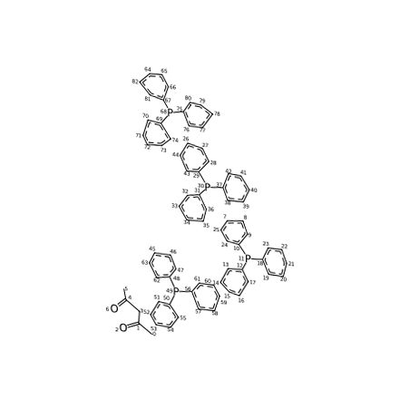 CC(=O)CC(C)=O.c1ccc(P(c2ccccc2)c2ccccc2)cc1.c1ccc(P(c2ccccc2)c2ccccc2)cc1.c1ccc(P(c2ccccc2)c2ccccc2)cc1.c1ccc(P(c2ccccc2)c2ccccc2)cc1